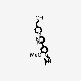 COc1cc(-c2ccc(N3CCC(CCO)CC3)nn2)ccc1-n1cnc(C)c1.Cl